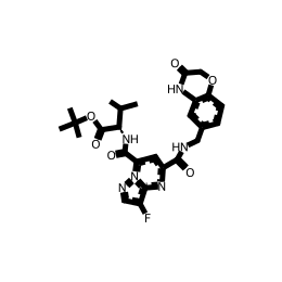 CC(C)[C@H](NC(=O)c1cc(C(=O)NCc2ccc3c(c2)NC(=O)CO3)nc2c(F)cnn12)C(=O)OC(C)(C)C